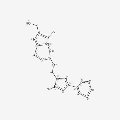 Cc1c(CO)nc2ccc(OCc3nc(-c4ccccc4)cn3C)nn12